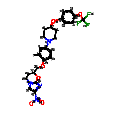 Cc1cc(N2CCC(Oc3ccc(OC(F)(F)F)cc3)CC2)ccc1OCC1CCn2cc([N+](=O)[O-])nc2O1